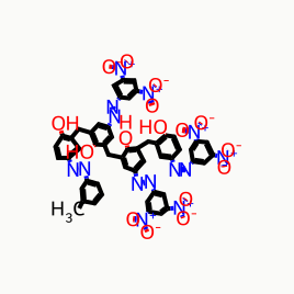 Cc1cccc(N=Nc2ccc(O)c(Cc3cc(N=Nc4cc([N+](=O)[O-])cc([N+](=O)[O-])c4)cc(Cc4cc(N=Nc5cc([N+](=O)[O-])cc([N+](=O)[O-])c5)cc(Cc5cc(N=Nc6cc([N+](=O)[O-])cc([N+](=O)[O-])c6)ccc5O)c4O)c3O)c2)c1